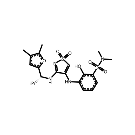 Cc1cc([C@H](NC2=NS(=O)(=O)C=C2Nc2cccc(S(=O)(=O)N(C)C)c2O)C(C)C)oc1C